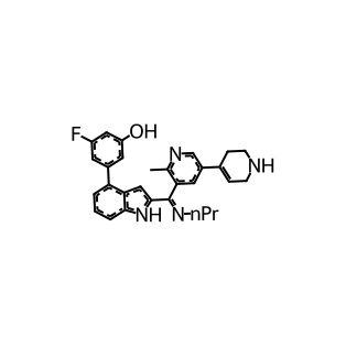 CCC/N=C(/c1cc2c(-c3cc(O)cc(F)c3)cccc2[nH]1)c1cc(C2=CCNCC2)cnc1C